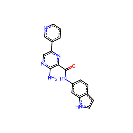 Nc1ncc(-c2cccnc2)nc1C(=O)Nc1ccc2cc[nH]c2c1